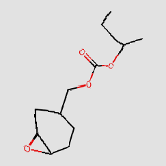 CCC(C)OC(=O)OCC1CCC2OC2C1